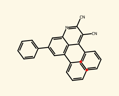 N#Cc1nc2cc(-c3ccccc3)cc(-c3ccccc3)c2c(-c2ccccc2)c1C#N